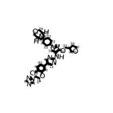 C[C@@H](Cn1cncn1)Oc1cc(-c2cnc(Nc3cn([C@H]4CC[C@H](N5[C@@H]6CC[C@@H]5COC6)CC4)nc3OCC3CCOC3)nc2)ccc1Cl